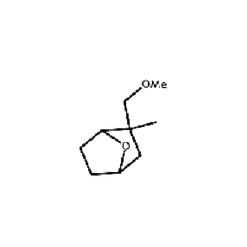 COCC1(C)CC2CCC1O2